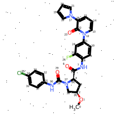 CO[C@@H]1C[C@H](C(=O)Nc2ccc(-n3cccc(-n4cccc4)c3=O)cc2F)N(C(=O)Nc2ccc(Cl)cc2)C1